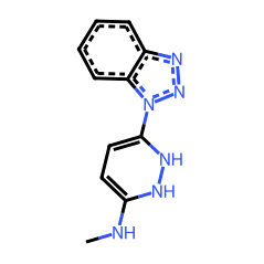 CNC1=CC=C(n2nnc3ccccc32)NN1